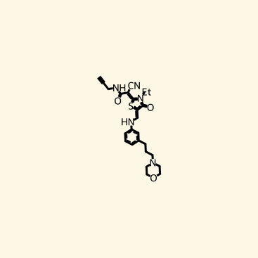 C#CCNC(=O)C(C#N)=c1sc(=CNc2cccc(CCCN3CCOCC3)c2)c(=O)n1CC